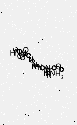 Nc1ncnc2c1c(-c1ccc(Oc3ccccc3)cc1)nn2C1CCN(c2cnn(C3CCN(c4ccc5c(c4)C(=O)N(C4CCC(=O)NC4=O)C5=O)CC3)c2)CC1